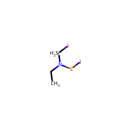 CCN([SiH2]I)SI